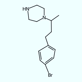 CC(CCc1ccc(Br)cc1)N1CCNCC1